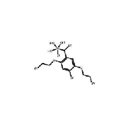 CCC(c1cc(OCCC(C)C)c(Br)cc1OCCC(C)C)P(O)(O)(O)CC